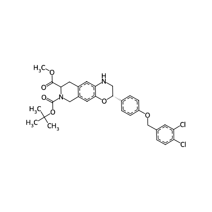 COC(=O)C1Cc2cc3c(cc2CN1C(=O)OC(C)(C)C)O[C@@H](c1ccc(OCc2ccc(Cl)c(Cl)c2)cc1)CN3